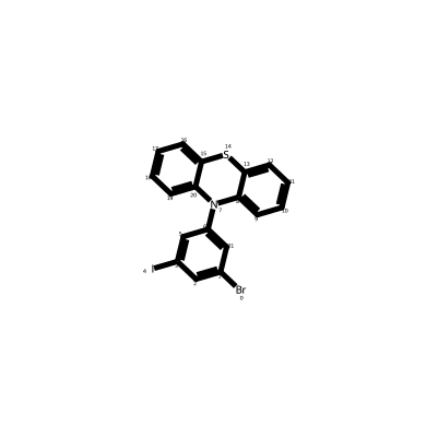 Brc1cc(I)cc(N2c3ccccc3Sc3ccccc32)c1